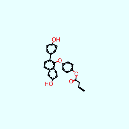 C=CCC(=O)Oc1ccc(Oc2c(-c3ccc(O)cc3)ccc3cc(O)ccc23)cc1